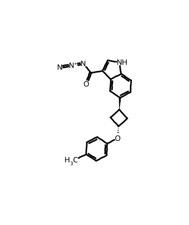 Cc1ccc(O[C@H]2C[C@H](c3ccc4[nH]cc(C(=O)N=[N+]=[N-])c4c3)C2)cc1